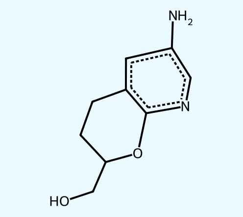 Nc1cnc2c(c1)CCC(CO)O2